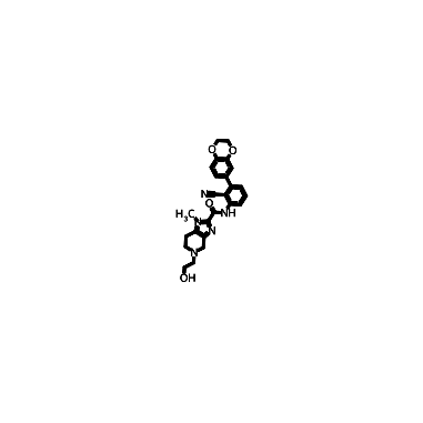 Cn1c(C(=O)Nc2cccc(-c3ccc4c(c3)OCCO4)c2C#N)nc2c1CCN(CCO)C2